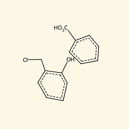 O=C(O)c1ccccc1.Oc1ccccc1CCl